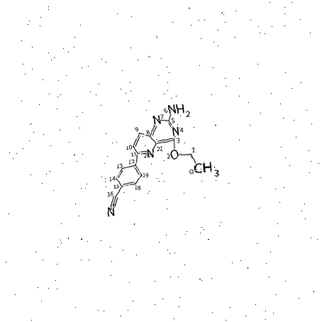 CCOc1nc(N)nc2ccc(-c3ccc(C#N)cc3)nc12